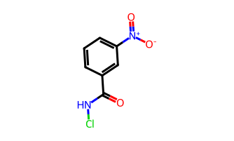 O=C(NCl)c1cccc([N+](=O)[O-])c1